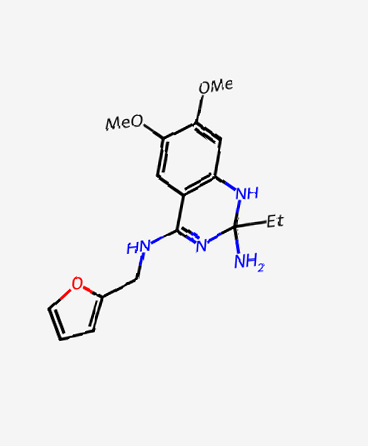 CCC1(N)N=C(NCc2ccco2)c2cc(OC)c(OC)cc2N1